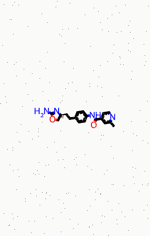 Cc1cc(C(=O)Nc2ccc(CC[C@H]3COC(N)=N3)cc2)ccn1